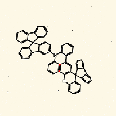 c1ccc(N(c2ccc3c(c2)-c2ccccc2C32c3ccccc3-c3ccccc32)c2ccccc2-c2ccc3c(c2)C2(c4ccccc4O3)c3ccccc3-c3ccccc32)cc1